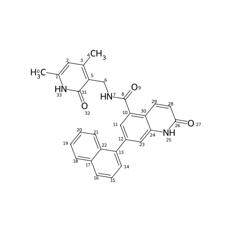 Cc1cc(C)c(CNC(=O)c2cc(-c3cccc4ccccc34)cc3[nH]c(=O)ccc23)c(=O)[nH]1